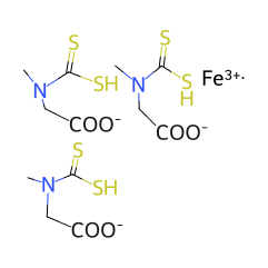 CN(CC(=O)[O-])C(=S)S.CN(CC(=O)[O-])C(=S)S.CN(CC(=O)[O-])C(=S)S.[Fe+3]